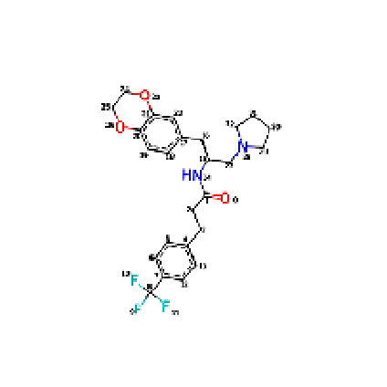 O=C(CCc1ccc(C(F)(F)F)cc1)N[C@@H](Cc1ccc2c(c1)OCCO2)CN1CCCC1